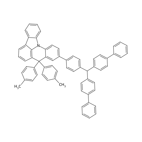 Cc1ccc(C2(c3ccc(C)cc3)c3cc(-c4ccc(C(c5ccc(-c6ccccc6)cc5)c5ccc(-c6ccccc6)cc5)cc4)ccc3-n3c4ccccc4c4cccc2c43)cc1